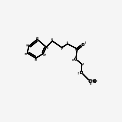 O=[C]OCOC(=O)CCCc1ccccc1